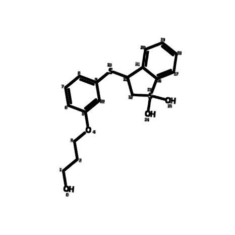 OCCCOc1cccc(SC2CS(O)(O)c3ccccc32)c1